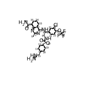 Cc1nc(N[C@H](CNS(=O)(=O)c2ccc(CNN)cc2)c2ccc(OC(F)(F)F)c(Cl)c2)c2cccc(C(N)=O)c2n1